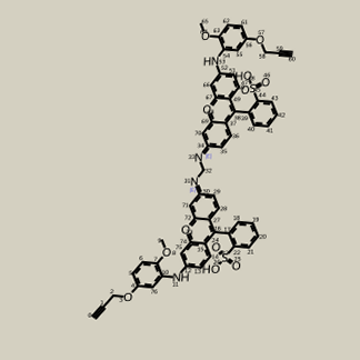 C#CCOc1ccc(OC)c(Nc2ccc3c(-c4ccccc4S(=O)(=O)O)c4cc/c(=N\C/N=c5\ccc6c(-c7ccccc7S(=O)(=O)O)c7ccc(Nc8cc(OCC#C)ccc8OC)cc7oc-6c5)cc-4oc3c2)c1